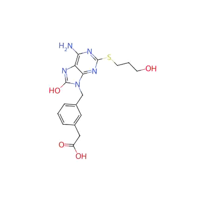 Nc1nc(SCCCO)nc2c1nc(O)n2Cc1cccc(CC(=O)O)c1